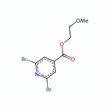 COCCOC(=O)c1cc(Br)nc(Br)c1